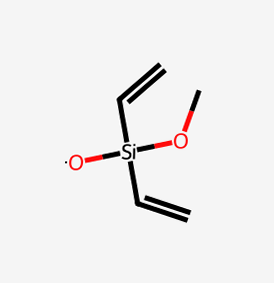 C=C[Si]([O])(C=C)OC